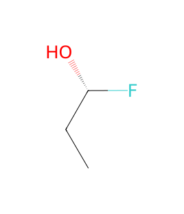 CC[C@H](O)F